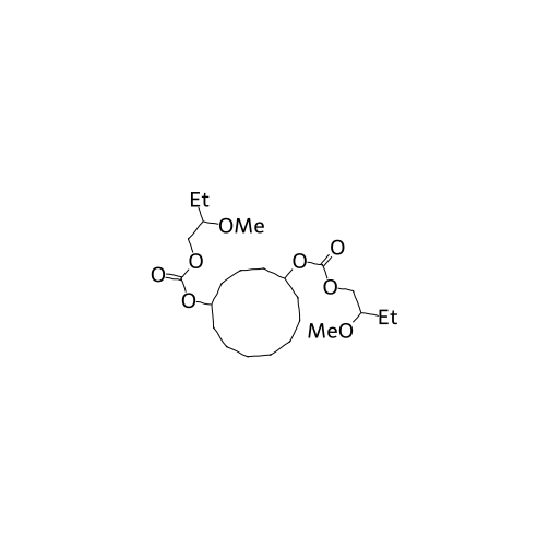 CCC(COC(=O)OC1CCCCCCCC(OC(=O)OCC(CC)OC)CCC1)OC